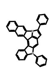 c1ccc(-c2cc3cc4c(c5ccccc5n4-c4ccccc4)c4c5cc6ccccc6cc5n2c34)cc1